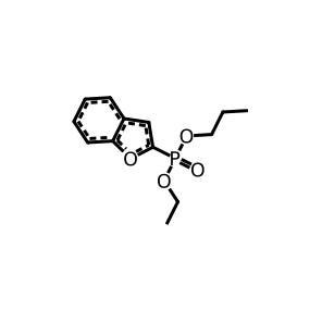 CCCOP(=O)(OCC)c1cc2ccccc2o1